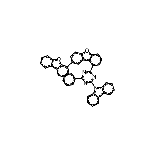 c1ccc(-c2nc(-c3cccc4oc5ccc(-c6cccc7c6oc6ccccc67)cc5c34)nc(-n3c4ccccc4c4ccccc43)n2)cc1